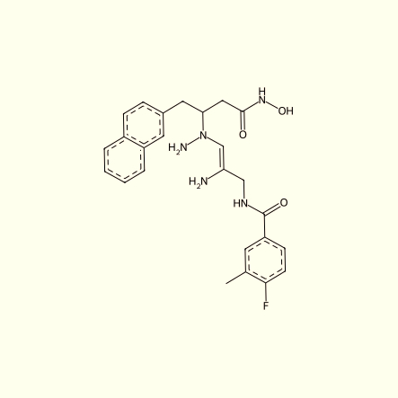 Cc1cc(C(=O)NC/C(N)=C/N(N)C(CC(=O)NO)Cc2ccc3ccccc3c2)ccc1F